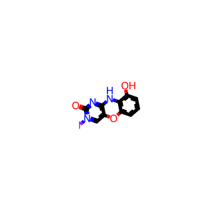 O=c1nc2c(cn1I)Oc1cccc(O)c1N2